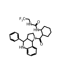 O=C(NCC(F)(F)F)NC1CCCCC1C(=O)N1CCC2C(c3ccccc3)Nc3ccccc3C21